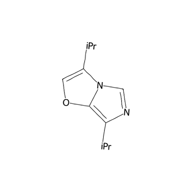 CC(C)c1ncn2c(C(C)C)coc12